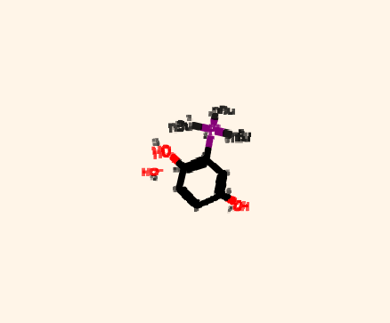 CCCC[P+](CCCC)(CCCC)c1cc(O)ccc1O.[OH-]